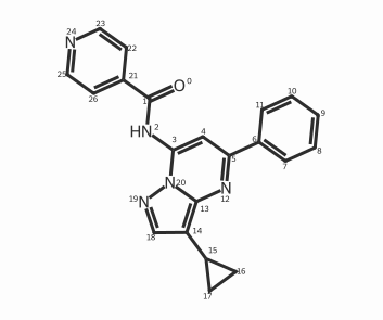 O=C(Nc1cc(-c2ccccc2)nc2c(C3CC3)cnn12)c1ccncc1